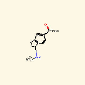 COC(=O)c1ccc2c(c1)CCC2NC(=O)O